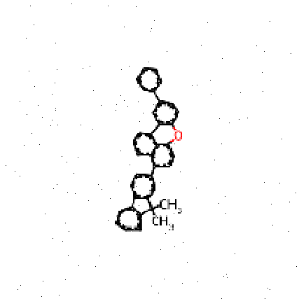 CC1(C)c2ccccc2-c2ccc(-c3ccc4c5c(cccc35)-c3cc(-c5ccccc5)ccc3O4)cc21